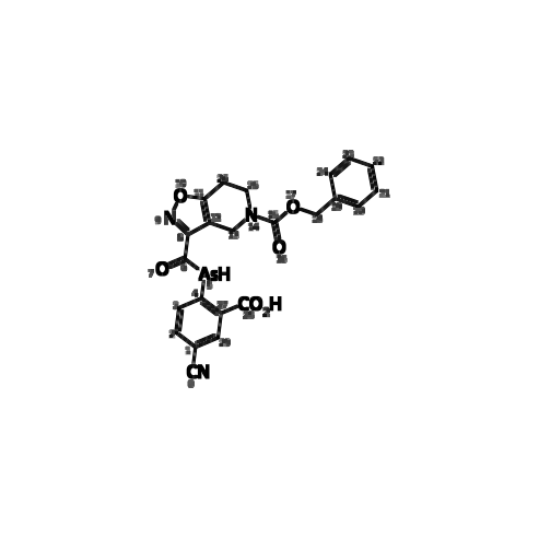 N#Cc1ccc([AsH]C(=O)c2noc3c2CN(C(=O)OCc2ccccc2)CC3)c(C(=O)O)c1